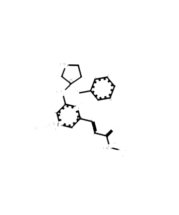 Cl.Cl.O=C(/C=C/c1cncc(N[C@]2(Cc3ccccc3)CCNC2)n1)NO